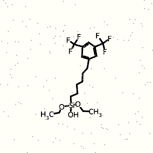 CCO[Si](O)(CCCCCCc1cc(C(F)(F)F)cc(C(F)(F)F)c1)OCC